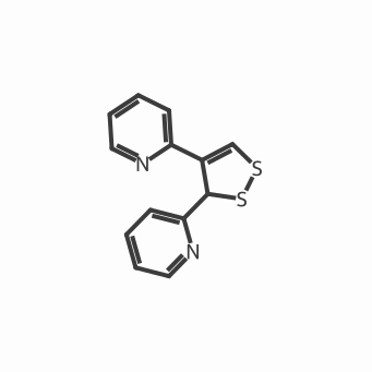 C1=C(c2ccccn2)C(c2ccccn2)SS1